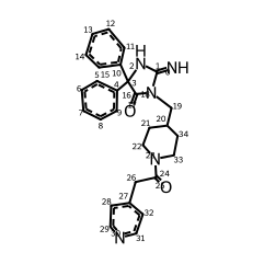 N=C1NC(c2ccccc2)(c2ccccc2)C(=O)N1CC1CCN(C(=O)Cc2ccncc2)CC1